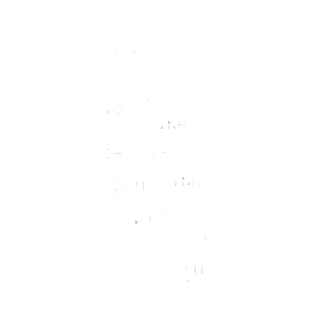 C=CC(=O)NONC(=O)C=C.O=S(=O)(O)O